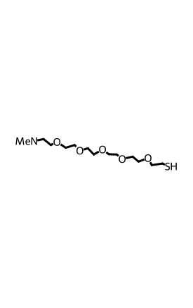 CNCCOCCOCCOCCOCCOCCS